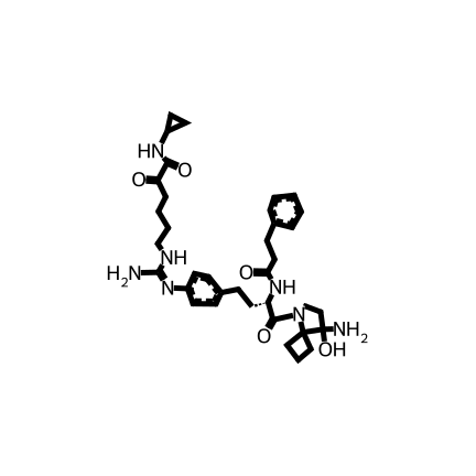 N/C(=N/c1ccc(CC[C@H](NC(=O)CCc2ccccc2)C(=O)N2CCC(N)(O)C23CCC3)cc1)NCCCCC(=O)C(=O)NC1CC1